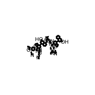 C=CC(=O)N1CCN(c2nc(OCC3(N(C)Cc4cccc5c(-c6cc7nc(OCCN(C)C)nc(N8CCN(C(=O)C=C)[C@@H](CC#N)C8)c7c7occc67)cc(O)cc45)CC3)nc3cc(-c4cc(O)cc5ccccc45)c4ccoc4c23)C[C@@H]1CC#N